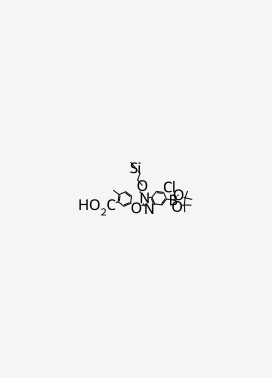 Cc1ccc(Oc2nc3cc(B4OC(C)(C)C(C)(C)O4)c(Cl)cc3n2COCC[Si](C)(C)C)cc1C(=O)O